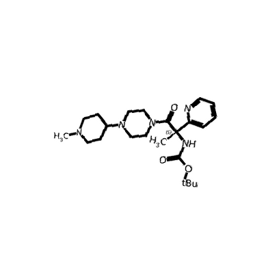 CN1CCC(N2CCN(C(=O)[C@@](C)(NC(=O)OC(C)(C)C)c3ccccn3)CC2)CC1